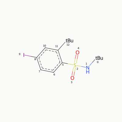 CC(C)(C)NS(=O)(=O)c1ccc(I)cc1C(C)(C)C